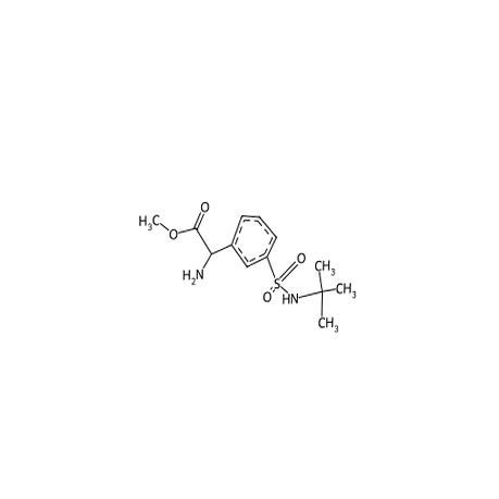 COC(=O)C(N)c1cccc(S(=O)(=O)NC(C)(C)C)c1